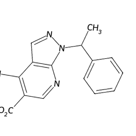 CCOC(=O)c1cnc2c(cnn2C(C)c2ccccc2)c1Cl